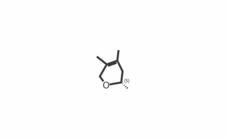 CC1=C(C)C[C@H](C)OC1